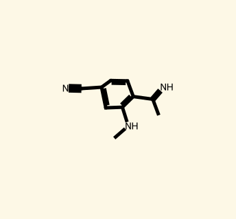 CNc1cc(C#N)ccc1C(C)=N